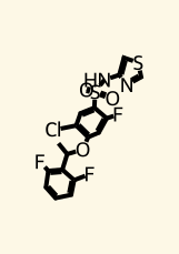 CC(Oc1cc(F)c(S(=O)(=O)Nc2cscn2)cc1Cl)c1c(F)cccc1F